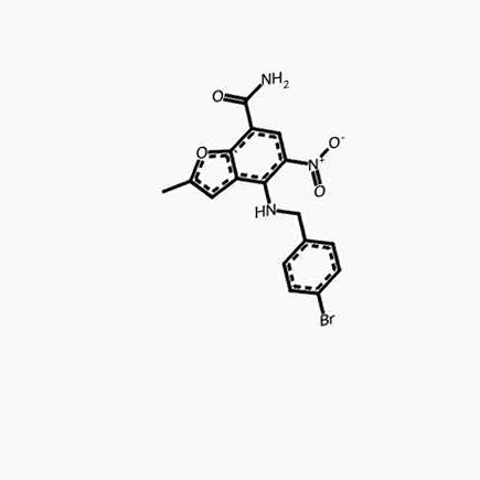 Cc1cc2c(NCc3ccc(Br)cc3)c([N+](=O)[O-])cc(C(N)=O)c2o1